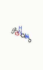 O=C(CC12CC3CC(CC(C3)C1)C2)Nc1ccc2cn(Cc3ccccc3)nc2c1